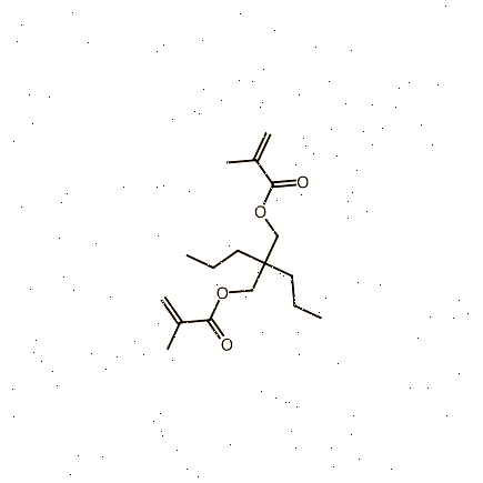 C=C(C)C(=O)OCC(CCC)(CCC)COC(=O)C(=C)C